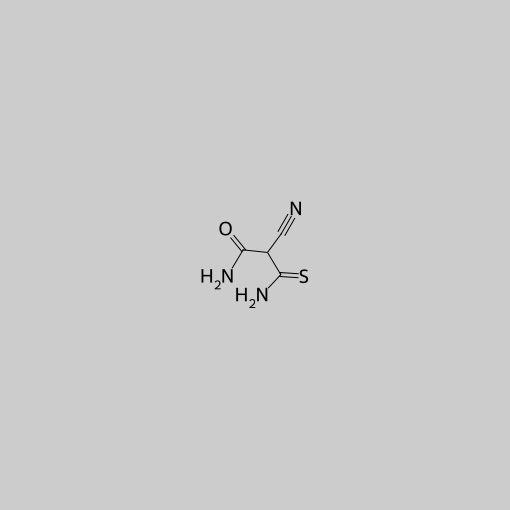 N#CC(C(N)=O)C(N)=S